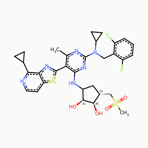 Cc1nc(N(Cc2c(F)cccc2F)C2CC2)nc(NC2C[C@H](CS(C)(=O)=O)[C@@H](O)[C@H]2O)c1-c1nc2c(C3CC3)nccc2s1